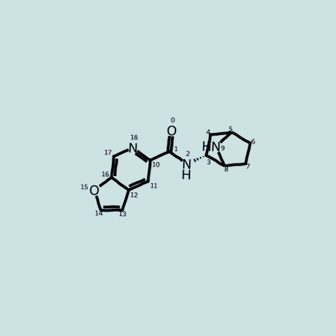 O=C(N[C@@H]1CC2CCC1N2)c1cc2ccoc2cn1